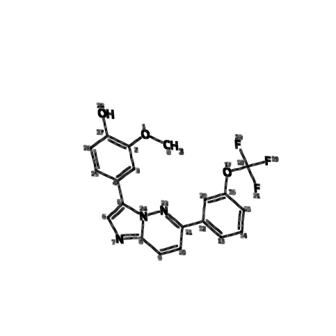 COc1cc(-c2cnc3ccc(-c4cccc(OC(F)(F)F)c4)nn23)ccc1O